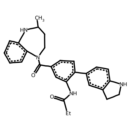 CCC(=O)Nc1cc(C(=O)N2CCC(C)Nc3ccccc32)ccc1-c1ccc2c(c1)CCN2